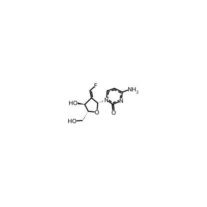 Nc1ccn([C@@H]2O[C@H](CO)[C@@H](O)/C2=C/F)c(=O)n1